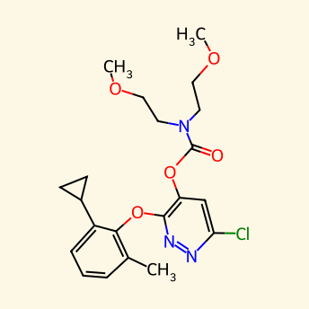 COCCN(CCOC)C(=O)Oc1cc(Cl)nnc1Oc1c(C)cccc1C1CC1